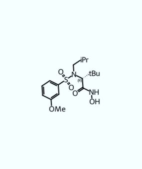 COc1cccc(S(=O)(=O)N(CC(C)C)[C@@H](C(=O)NO)C(C)(C)C)c1